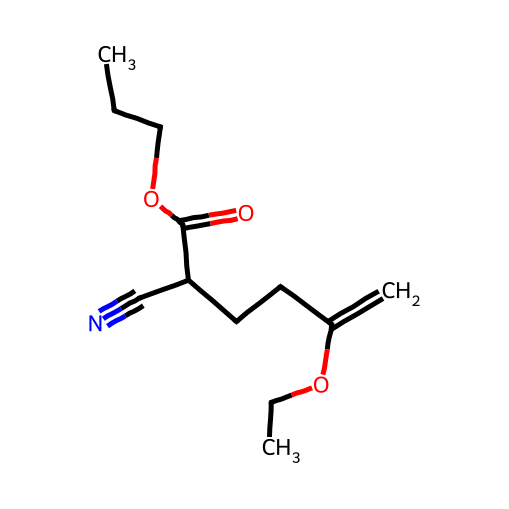 C=C(CCC(C#N)C(=O)OCCC)OCC